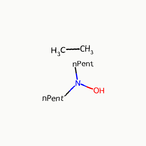 CC.CCCCCN(O)CCCCC